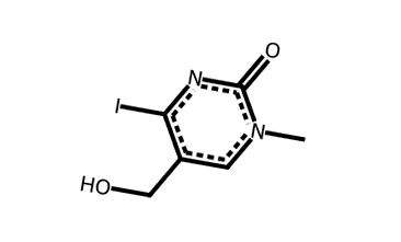 Cn1cc(CO)c(I)nc1=O